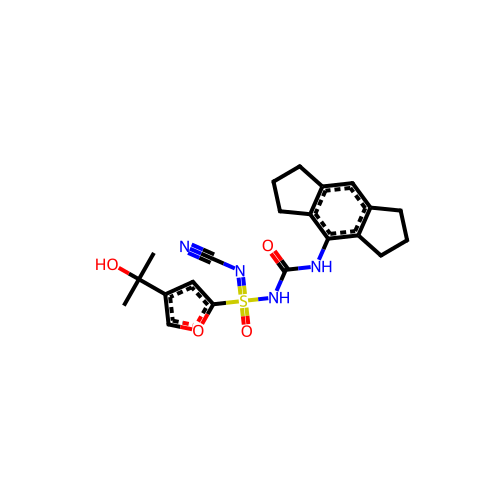 CC(C)(O)c1coc(S(=O)(=NC#N)NC(=O)Nc2c3c(cc4c2CCC4)CCC3)c1